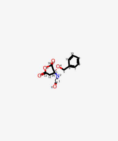 O=C=N[C@@]1(OCc2ccccc2)CC(=O)OC1=O